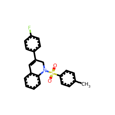 Cc1ccc(S(=O)(=O)N2CC(c3ccc(F)cc3)=Cc3ccccc32)cc1